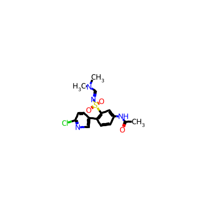 CC(=O)Nc1ccc(-c2ccc(Cl)nc2)c(S(=O)(=O)N=CN(C)C)c1